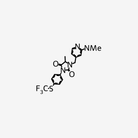 CNc1cc(CN2C(=O)N(c3ccc(SC(F)(F)F)cc3)C(=O)C2C)ccn1